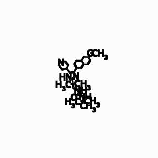 COc1ccc2cc(-c3nc(C(C)(C)CNC(=O)NC(C)(C)C)[nH]c3-c3ccncc3)ccc2c1